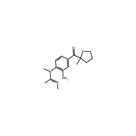 CN=C(C)N(C)c1ccc(C(=O)C2(C)CCCO2)cc1N